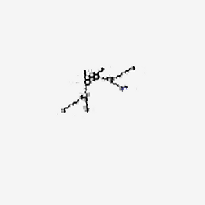 C/N=C(/N)NCCCC(NC(=O)COc1cc2oc3cc(OCC(=O)NC(CCCNC(=N)N)C(=O)NCCCNCCCN(C)C)c(OC)c(CC=C(C)C)c3c(=O)c2c(O)c1CC=C(C)C)C(=O)NCCCNCCCN(C)C